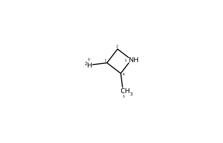 [2H]C1CNC1C